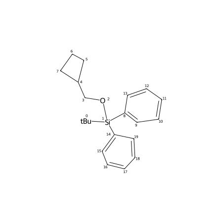 CC(C)(C)[Si](OCC1CCC1)(c1ccccc1)c1ccccc1